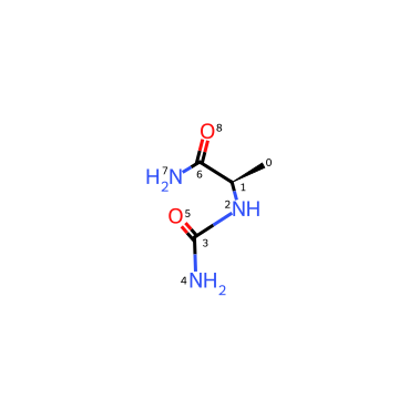 C[C@@H](NC(N)=O)C(N)=O